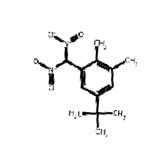 Cc1cc(C(C)(C)C)cc(C([N+](=O)[O-])[N+](=O)[O-])c1C